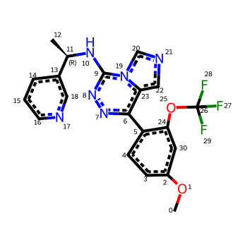 COc1ccc(-c2nnc(N[C@H](C)c3cccnc3)n3cncc23)c(OC(F)(F)F)c1